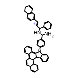 NC(NC(/C=C/c1ccc2c(c1)C=CCC2)c1ccccc1)c1ccc(N2C3=c4ccccc4=C4C=CC5C=CC=CC5C4C3c3ccccc32)cc1